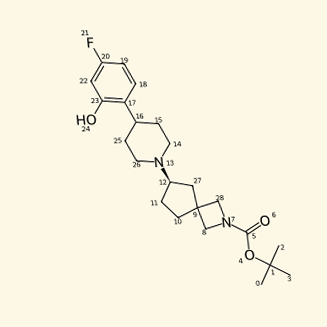 CC(C)(C)OC(=O)N1CC2(CC[C@@H](N3CCC(c4ccc(F)cc4O)CC3)C2)C1